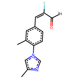 [2H]C(=O)/C(F)=C\c1ccc(-n2cnc(C)c2)c(C)c1